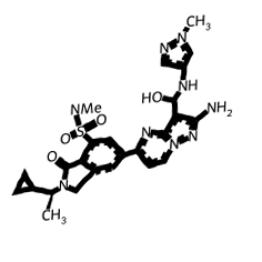 CNS(=O)(=O)c1cc(-c2ccn3nc(N)c(C(O)Nc4cnn(C)c4)c3n2)cc2c1C(=O)N([C@@H](C)C1CC1)C2